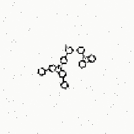 C1=Cc2c(c3ccccc3n2-c2cccc(-c3cncc(-c4ccc(-n5c6ccc(-c7ccccc7)cc6c6cc(-c7ccccc7)ccc65)cc4)c3)c2)CC1